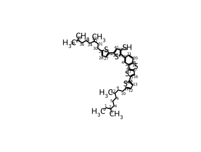 CCC(C)CCCC(C)CCc1ccc(-c2cc3sc4ccc(-c5sc(-c6ccc(CCC(C)CCCC(C)C)s6)cc5S)cc4c3s2)s1